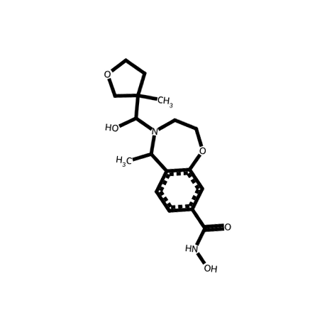 CC1c2ccc(C(=O)NO)cc2OCCN1C(O)C1(C)CCOC1